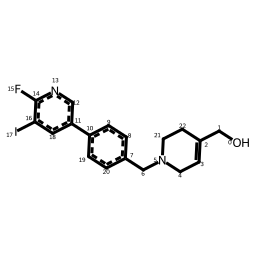 OCC1=CCN(Cc2ccc(-c3cnc(F)c(I)c3)cc2)CC1